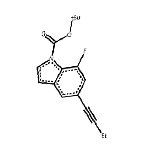 CCC#Cc1cc(F)c2c(ccn2C(=O)OC(C)(C)C)c1